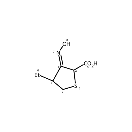 CCC1CSC(C(=O)O)C1=NO